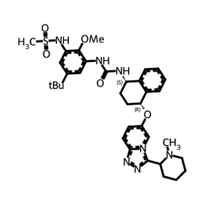 COc1c(NC(=O)N[C@H]2CC[C@@H](Oc3ccc4nnc(C5CCCCN5C)n4c3)c3ccccc32)cc(C(C)(C)C)cc1NS(C)(=O)=O